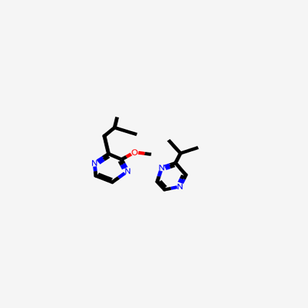 CC(C)c1cnccn1.COc1nccnc1CC(C)C